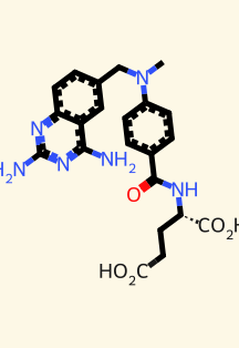 CN(Cc1ccc2nc(N)nc(N)c2c1)c1ccc(C(=O)N[C@@H](CCC(=O)O)C(=O)O)cc1